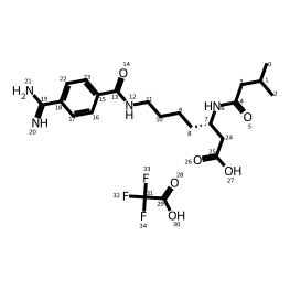 CC(C)CC(=O)N[C@@H](CCCCNC(=O)c1ccc(C(=N)N)cc1)CC(=O)O.O=C(O)C(F)(F)F